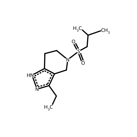 CCc1n[nH]c2c1CN(S(=O)(=O)CC(C)C)CC2